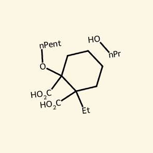 CCCCCOC1(C(=O)O)CCCCC1(CC)C(=O)O.CCCO